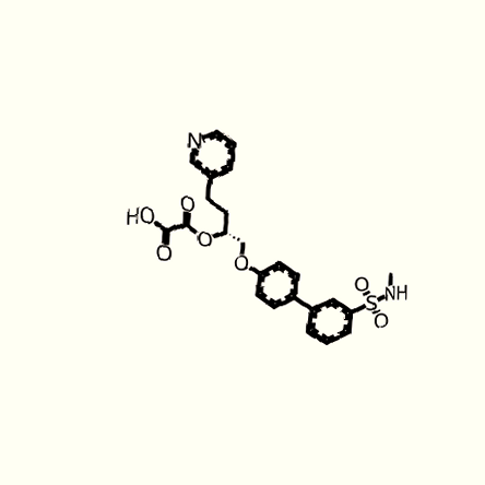 CNS(=O)(=O)c1cccc(-c2ccc(OC[C@@H](CCc3cccnc3)OC(=O)C(=O)O)cc2)c1